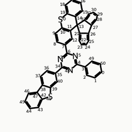 c1ccc(-c2nc(-c3ccc4c(c3)C3(c5ccccc5S4)c4ccccc4-c4ccccc43)nc(-c3ccc4c(c3)sc3ccccc34)n2)cc1